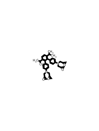 CC(C)c1ccc(C(C)C)c(-c2ccc(N(CC3CO3)CC3CO3)cc2)c1-c1ccc(N(CC2CO2)CC2CO2)cc1